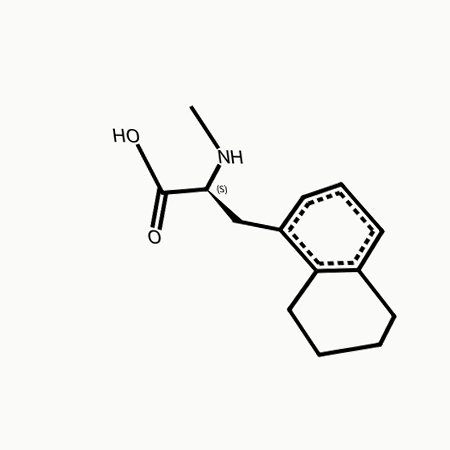 CN[C@@H](Cc1cccc2c1CCCC2)C(=O)O